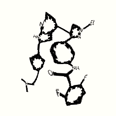 CCn1cc(-c2ccnc3[nH]c(-c4ccc(CN(C)C)cc4)cc23)c(-c2cccc(NC(=O)c3c(F)cccc3F)c2)n1